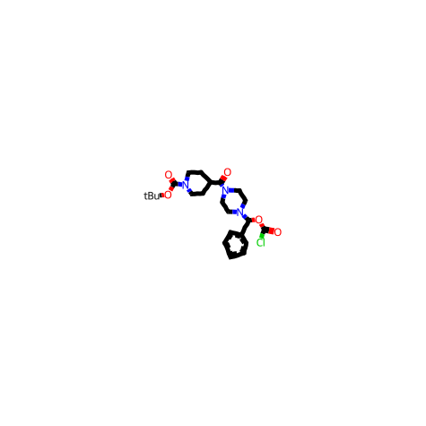 CC(C)(C)OC(=O)N1CCC(C(=O)N2CCN(C(OC(=O)Cl)c3ccccc3)CC2)CC1